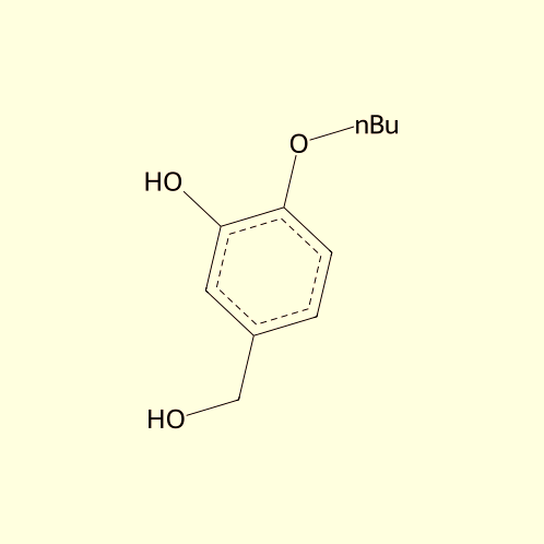 CCCCOc1ccc(CO)cc1O